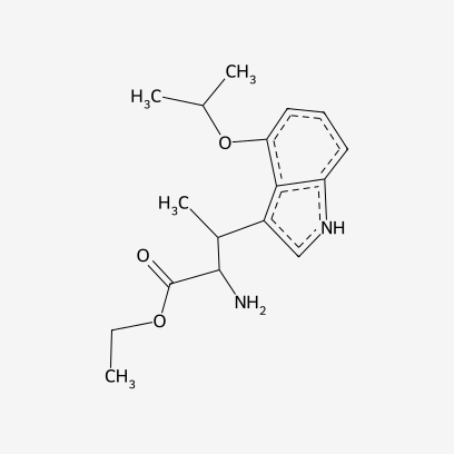 CCOC(=O)C(N)C(C)c1c[nH]c2cccc(OC(C)C)c12